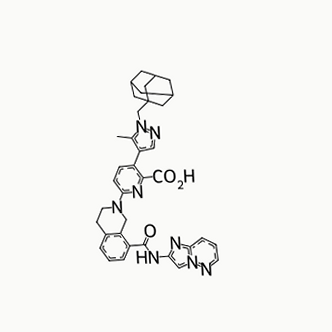 Cc1c(-c2ccc(N3CCc4cccc(C(=O)Nc5cn6ncccc6n5)c4C3)nc2C(=O)O)cnn1CC12CC3CC(CC(C3)C1)C2